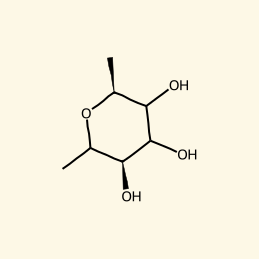 CC1O[C@@H](C)C(O)C(O)[C@H]1O